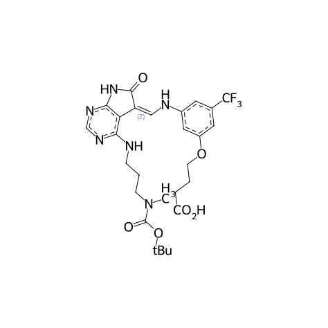 CN(CCCNc1ncnc2c1/C(=C/Nc1cc(OCCCC(=O)O)cc(C(F)(F)F)c1)C(=O)N2)C(=O)OC(C)(C)C